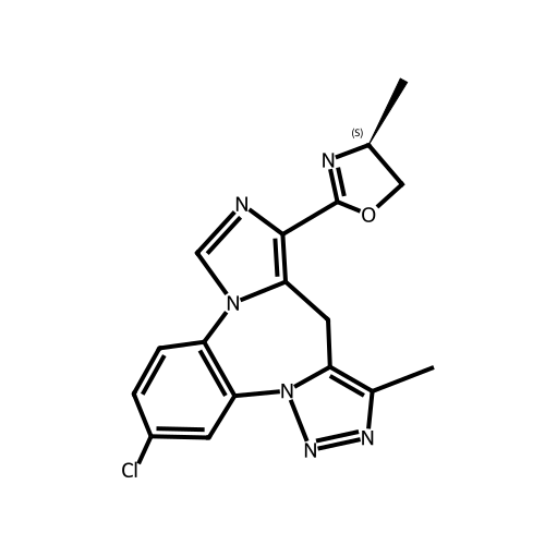 Cc1nnn2c1Cc1c(C3=N[C@@H](C)CO3)ncn1-c1ccc(Cl)cc1-2